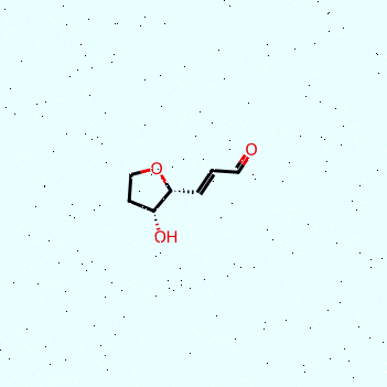 O=C/C=C/[C@H]1OCC[C@H]1O